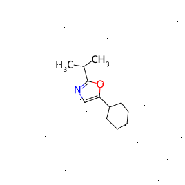 CC(C)c1ncc(C2CCCCC2)o1